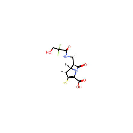 C[C@@H](NC(=O)C(F)(F)CO)[C@H]1C(=O)N2C(C(=O)O)=C(S)[C@H](C)[C@H]12